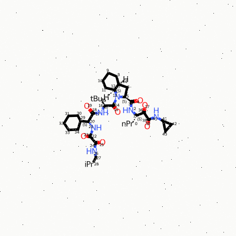 CCC[C@H](NC(=O)[C@@H]1C[C@@H]2CCCC[C@@H]2N1C(=O)[C@@H](NC(=O)[C@@H](NC(=O)C(=O)NCC(C)C)C1CCCCC1)C(C)(C)C)C(=O)C(=O)NC1CC1